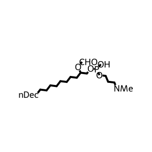 CCCCCCCCCCCCCCCCCCC(COP(O)OCCCNC)OC=O